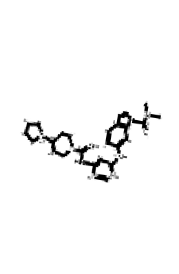 CN(C)C(=O)n1ccc2ccc(Nc3cc(NC(=O)N4CCC(N5CCCC5)CC4)ncn3)cc21